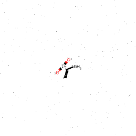 C=C[SiH3].[O]=[Ti]=[O]